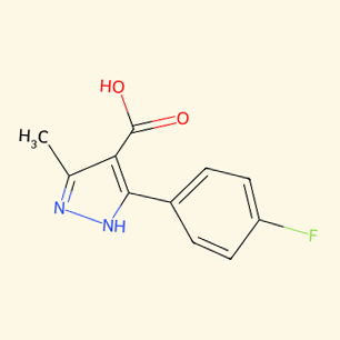 Cc1n[nH]c(-c2ccc(F)cc2)c1C(=O)O